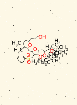 C=C1C(C)CC(CCCO)OC1CC1O[C@H](CC(CO[Si](C)(C)C(C)(C)C)O[Si](C)(C)C(C)(C)C)[C@H](OC)C1CS(=O)(=O)c1ccccc1